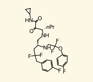 CCC[C@H](NC[C@H](CC(F)(F)Cc1ccc(F)cc1)NCC(F)(F)Oc1ccc(F)cc1)C(=O)C(=O)NC1CC1